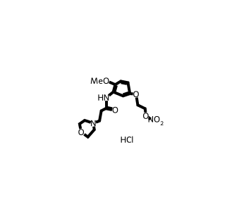 COc1ccc(OCCO[N+](=O)[O-])cc1NC(=O)CCN1CCOCC1.Cl